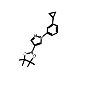 CC1(C)OB(c2cnn(-c3cccc(C4CC4)c3)c2)OC1(C)C